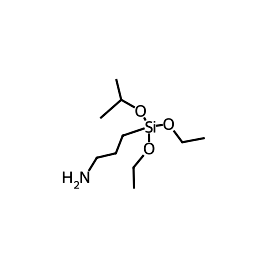 CCO[Si](CCCN)(OCC)OC(C)C